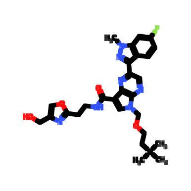 Cn1nc(-c2cnc3c(n2)c(C(=O)NCCc2nc(CO)co2)cn3COCC[Si](C)(C)C)c2ccc(F)cc21